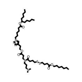 CCCCCCCOC(=O)CCCSSCCCC(=O)N(CCCN(C)C)CCC(=O)OCCc1cn(CCCCCC(=O)OC(CCCCC)CCCCC)nn1